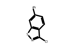 CC(C)c1ccc2c(Cl)nsc2c1